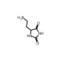 BCCC1NC(=O)NC1=O